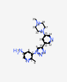 Cc1ncc(N)cc1-n1cc(-c2cncc(N3CCN(C)CC3)c2)nn1